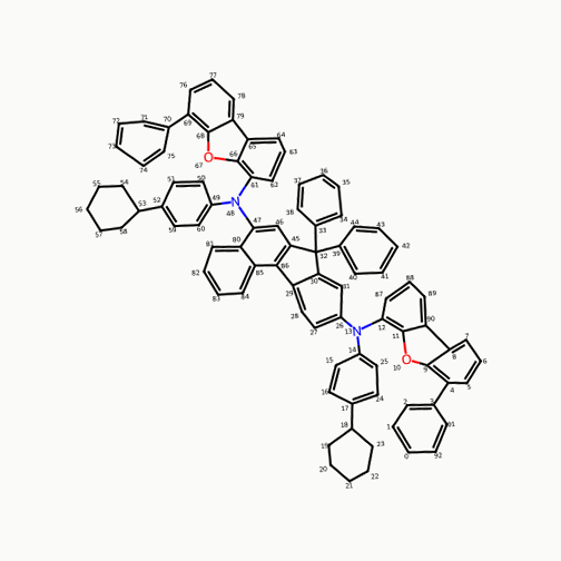 c1ccc(-c2cccc3c2oc2c(N(c4ccc(C5CCCCC5)cc4)c4ccc5c(c4)C(c4ccccc4)(c4ccccc4)c4cc(N(c6ccc(C7CCCCC7)cc6)c6cccc7c6oc6c(-c8ccccc8)cccc67)c6ccccc6c4-5)cccc23)cc1